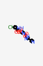 O=C(Oc1ncc(-c2ccncc2)cn1)N1CCN(S(=O)(=O)c2[nH]c3ccc(Cl)cc3c2O)CC1